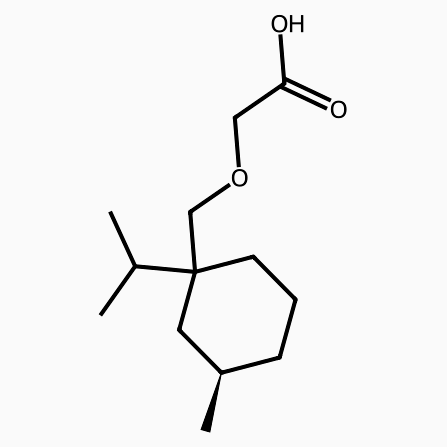 CC(C)C1(COCC(=O)O)CCC[C@@H](C)C1